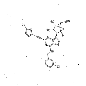 N#CC[C@@]12C[C@@H]1[C@@H](n1cnc3c(NCc4cccc(Cl)c4)nc(C#Cc4ccc(Cl)s4)nc31)[C@H](O)[C@@H]2O